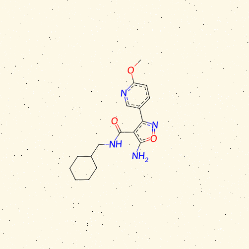 COc1ccc(-c2noc(N)c2C(=O)NCC2CCCCC2)cn1